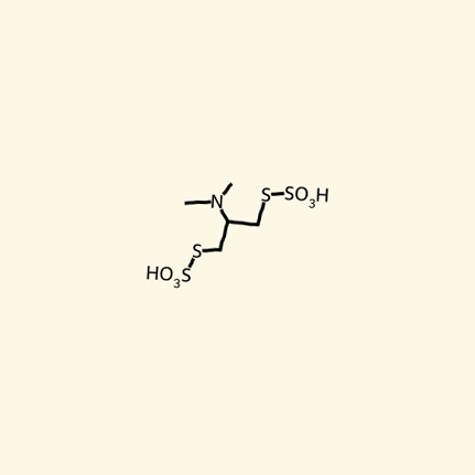 CN(C)C(CSS(=O)(=O)O)CSS(=O)(=O)O